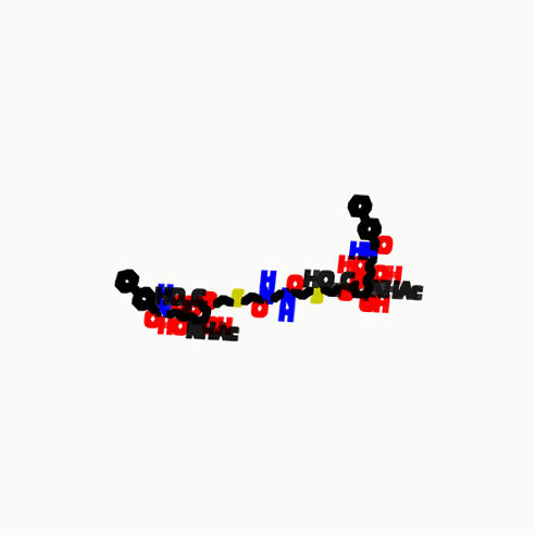 CC(=O)N[C@H]1[C@H]([C@H](O)[C@H](O)CNC(=O)c2ccc(-c3ccccc3)cc2)O[C@@](OCCCSCCC(=O)NCCNC(=O)CCSCCCO[C@]2(C(=O)O)C[C@H](O)[C@@H](NC(C)=O)[C@H]([C@H](O)[C@H](O)CNC(=O)c3ccc(-c4ccccc4)cc3)O2)(C(=O)O)C[C@@H]1O